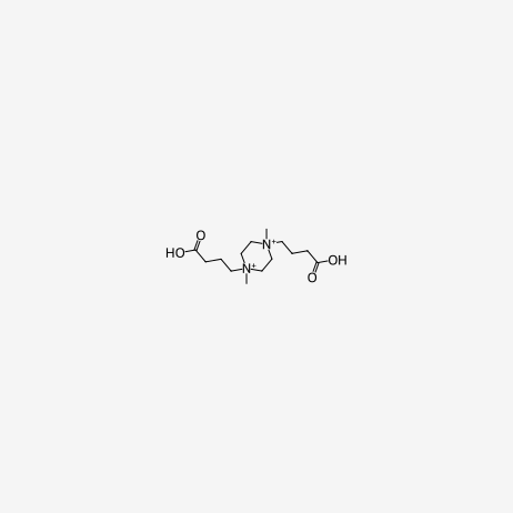 C[N+]1(CCCC(=O)O)CC[N+](C)(CCCC(=O)O)CC1